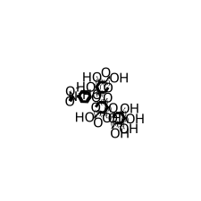 O=C(O)[C@H]1OC(O[C@H]2C(Oc3ccc([N+](=O)[O-])cc3)O[C@H](C(=O)O)[C@@H](O)[C@@H]2OC2O[C@H](CO)[C@@H](O)[C@H](O)[C@H]2O)[C@H](O)[C@@H](O)[C@@H]1O